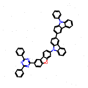 c1ccc(-c2nc(-c3ccccc3)nc(-c3ccc4oc5cc(-n6c7ccccc7c7cc(-c8ccc9c(c8)c8ccccc8n9-c8ccccc8)ccc76)ccc5c4c3)n2)cc1